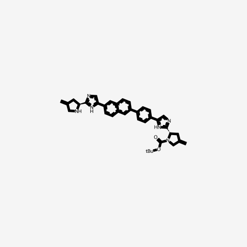 C=C1CN[C@H](c2ncc(-c3ccc4cc(-c5ccc(-c6cnc([C@@H]7CC(=C)CN7C(=O)OC(C)(C)C)[nH]6)cc5)ccc4c3)[nH]2)C1